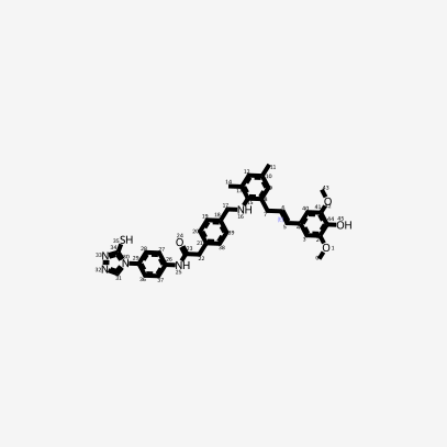 COc1cc(/C=C/Cc2cc(C)cc(C)c2NCc2ccc(CC(=O)Nc3ccc(-n4cnnc4S)cc3)cc2)cc(OC)c1O